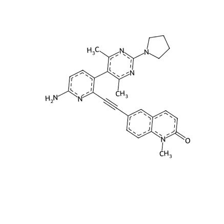 Cc1nc(N2CCCC2)nc(C)c1-c1ccc(N)nc1C#Cc1ccc2c(ccc(=O)n2C)c1